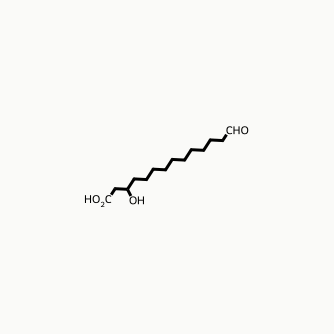 O=CCCCCCCCCCCC(O)CC(=O)O